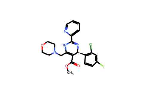 COC(=O)C1=C(CN2CCOCC2)NC(c2ccccn2)=N[C@H]1c1ccc(F)cc1Cl